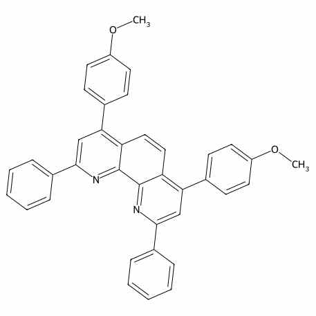 COc1ccc(-c2cc(-c3ccccc3)nc3c2ccc2c(-c4ccc(OC)cc4)cc(-c4ccccc4)nc23)cc1